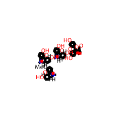 CN1CC[C@]23c4c5ccc(O)c4O[C@H]2[C@@H](O)C=C[C@H]3[C@H]1C5.CN1CC[C@]23c4c5ccc(O)c4O[C@H]2[C@@H](O)C=C[C@H]3[C@H]1C5.COc1ccc2c3c1O[C@H]1[C@@H](O)C=C[C@H]4[C@@H](C2)N(C)CC[C@@]341.O=C1OC2(c3ccc(O)cc3Oc3cc(O)ccc32)c2ccccc21